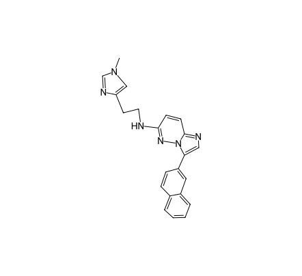 Cn1cnc(CCNc2ccc3ncc(-c4ccc5ccccc5c4)n3n2)c1